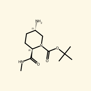 CNC(=O)[C@H]1CC[C@H](N)CN1C(=O)OC(C)(C)C